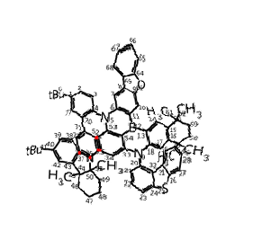 CC(C)(C)c1ccc(N2c3cc4c(cc3B3c5cc6c(cc5N(c5cccc7sc8ccccc8c57)c5cc(N7c8ccc(C(C)(C)C)cc8C8(C)CCCCC78C)cc2c53)C(C)(C)CCC6(C)C)oc2ccccc24)c(-c2ccccc2)c1